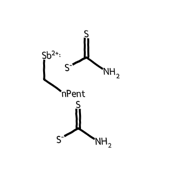 CCCCC[CH2][Sb+2].NC(=S)[S-].NC(=S)[S-]